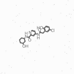 O=C(Cc1cc(Cl)ccc1O)Nc1ccnc(C(=O)NC2CCCC(O)C2)c1